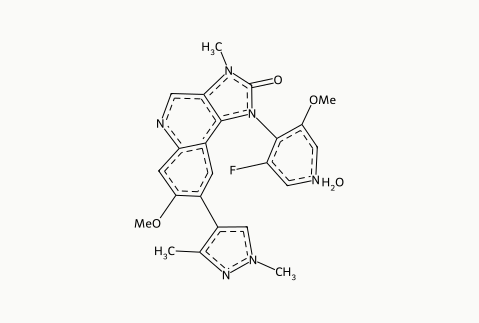 COc1cc2ncc3c(c2cc1-c1cn(C)nc1C)n(-c1c(F)cncc1OC)c(=O)n3C.O